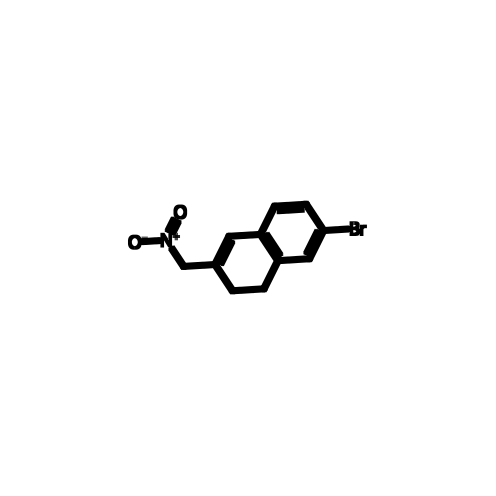 O=[N+]([O-])CC1=Cc2ccc(Br)cc2CC1